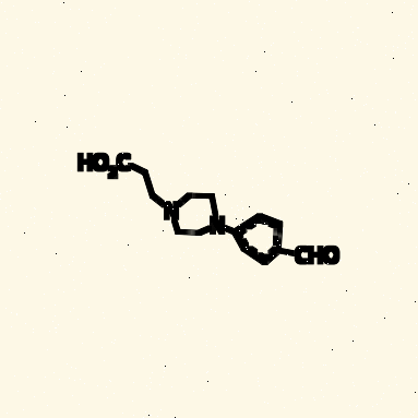 O=Cc1ccc(N2CCN(CCC(=O)O)CC2)cc1